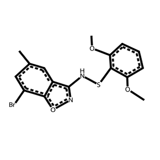 COc1cccc(OC)c1SNc1noc2c(Br)cc(C)cc12